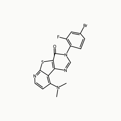 CN(C)c1ccnc2sc3c(=O)n(-c4ccc(Br)cc4F)cnc3c12